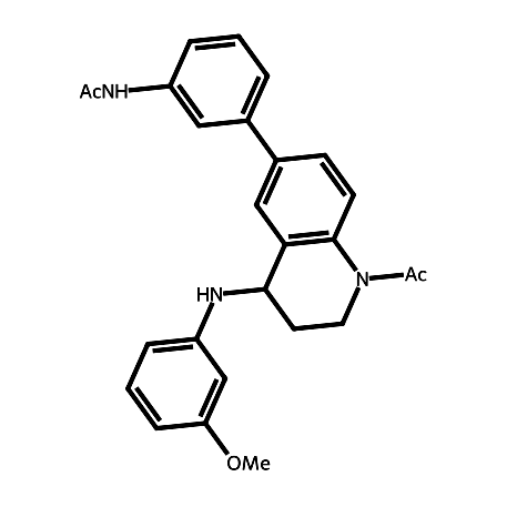 COc1cccc(NC2CCN(C(C)=O)c3ccc(-c4cccc(NC(C)=O)c4)cc32)c1